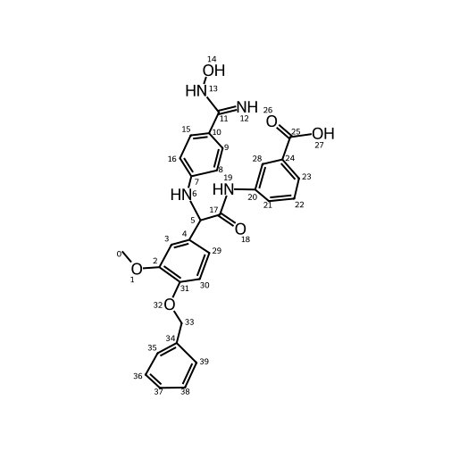 COc1cc(C(Nc2ccc(C(=N)NO)cc2)C(=O)Nc2cccc(C(=O)O)c2)ccc1OCc1ccccc1